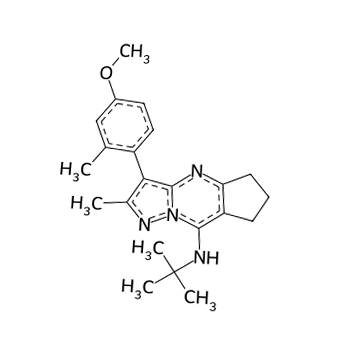 COc1ccc(-c2c(C)nn3c(NC(C)(C)C)c4c(nc23)CCC4)c(C)c1